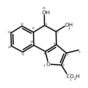 Cc1c(C(=O)O)oc2c1C(O)C(O)c1ccccc1-2